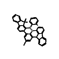 Cc1cc2c3c(c1)C1c4ccccc4-c4cccc(c41)B3N(c1ccccc1C)c1c-2ccc2c1C(C)(C)c1ccccc1-2